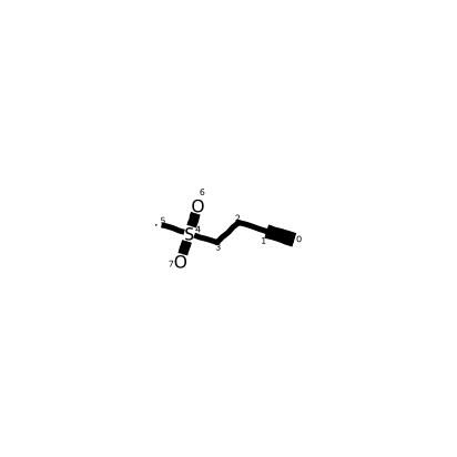 C#CCCS([CH2])(=O)=O